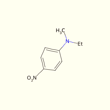 [CH2]CN(C)c1ccc([N+](=O)[O-])cc1